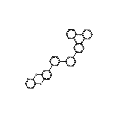 c1cc(-c2cccc(-c3ccc4c5ccccc5c5ccccc5c4c3)c2)cc(-c2ccc3c(c2)Sc2ncccc2O3)c1